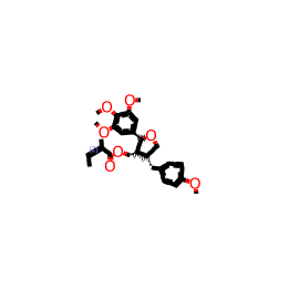 C/C=C(/C)C(=O)OC[C@H]1[C@@H](Cc2ccc(OC)cc2)CO[C@@H]1c1cc(OC)c(OC)c(OC)c1